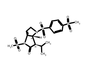 CC(C)[C@H]1C(=O)N(S(C)(=O)=O)C2=CCN(S(=O)(=O)c3ccc(S(C)(=O)=O)cc3)[C@@H]21